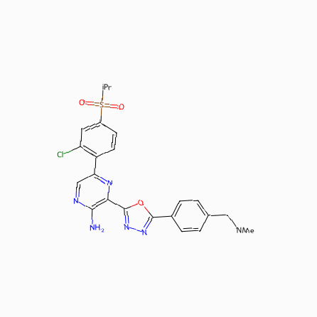 CNCc1ccc(-c2nnc(-c3nc(-c4ccc(S(=O)(=O)C(C)C)cc4Cl)cnc3N)o2)cc1